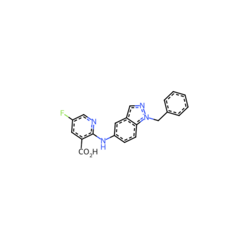 O=C(O)c1cc(F)cnc1Nc1ccc2c(cnn2Cc2ccccc2)c1